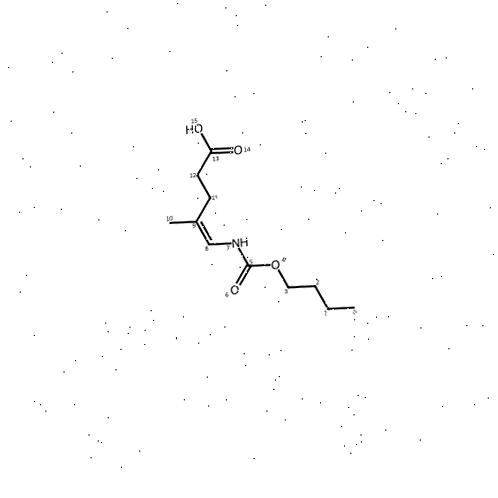 CCCCOC(=O)NC=C(C)CCC(=O)O